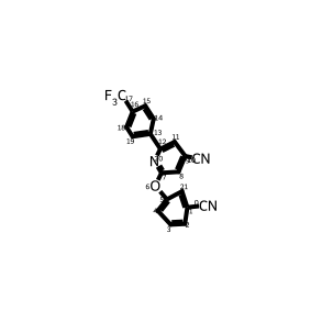 N#Cc1cccc(Oc2cc(C#N)cc(-c3ccc(C(F)(F)F)cc3)n2)c1